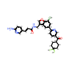 Nc1ccc(/C=C/C(=O)NCc2coc3c(Cl)cc(-c4ccc(C(=O)C5CCC(F)(F)CC5)cn4)cc23)cn1